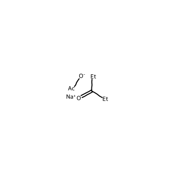 CC(=O)[O-].CCC(=O)CC.[Na+]